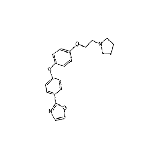 c1coc(-c2ccc(Oc3ccc(OCCN4CCCC4)cc3)cc2)n1